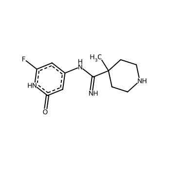 CC1(C(=N)Nc2cc(F)[nH]c(=O)c2)CCNCC1